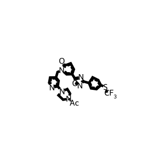 CC(=O)N1CCN(c2cc(Cn3cc(-c4nc(-c5ccc(SC(F)(F)F)cc5)no4)ccc3=O)ccn2)CC1